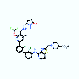 Cc1cc(-c2cccc(-c3cccc(Nc4nccc5sc(CN6CCC(C(=O)O)CC6)nc45)c3Cl)c2Cl)nc(OC(F)F)c1CNC[C@@H]1CCC(=O)N1